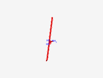 C#CCOCCOCCOCCOCCOCCOCCOCCOCCNC(=O)CN(CC(=O)NCCOCCOCCOCCOCCOCCOCCOCCOCCOCCOCCOCCOC)C(=O)CCCCN